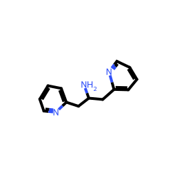 NC(Cc1ccccn1)Cc1ccccn1